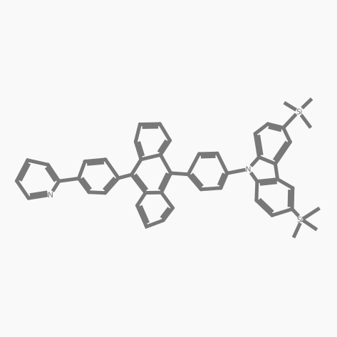 C[Si](C)(C)c1ccc2c(c1)c1cc([Si](C)(C)C)ccc1n2-c1ccc(-c2c3ccccc3c(-c3ccc(-c4ccccn4)cc3)c3ccccc23)cc1